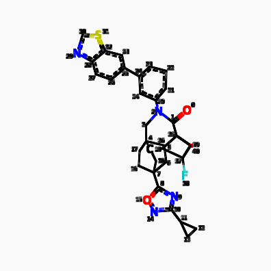 O=C(N(CC12CCC(c3nc(C4CC4)no3)(CC1)CC2)c1cccc(-c2ccc3ncsc3c2)c1)C12CC(F)(C1)C2